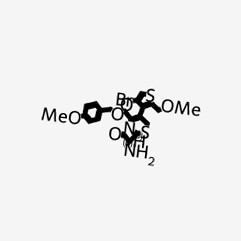 COCc1scc(Br)c1C1=C(C(=O)OCc2ccc(OC)cc2)N2C(=O)[C@@H](N)[C@@H]2SC1